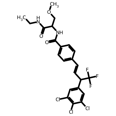 CCNC(=O)C(COC)NC(=O)c1ccc(/C=C/C(c2cc(Cl)c(Cl)c(Cl)c2)C(F)(F)F)cc1